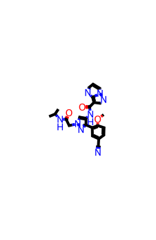 COc1ccc(C#N)cc1-c1nn(CC(=O)NC(C)C)cc1NC(=O)c1cnn2cccnc12